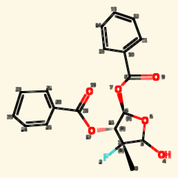 C[C@]1(F)C(O)O[C@H](OC(=O)c2ccccc2)[C@H]1OC(=O)c1ccccc1